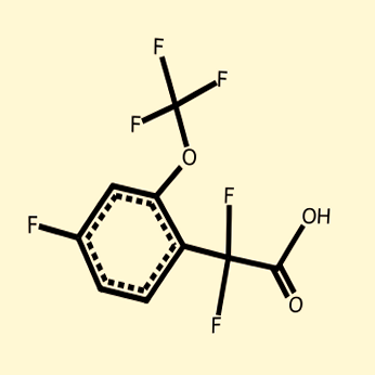 O=C(O)C(F)(F)c1ccc(F)cc1OC(F)(F)F